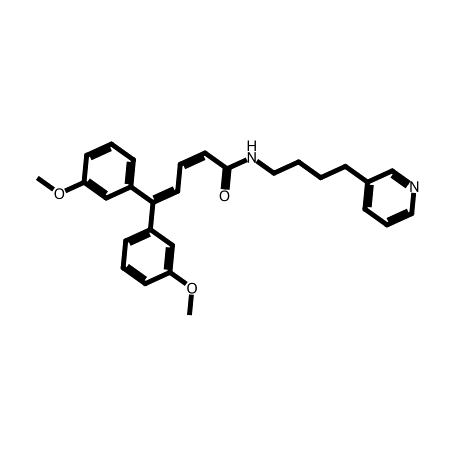 COc1cccc(C(=C/C=C\C(=O)NCCCCc2cccnc2)c2cccc(OC)c2)c1